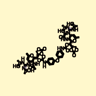 CB(O)/N=C(/NB(C)O)N[C@H]1C=C(C)O[C@@H]([C@H](OC(=O)Nc2ccc(Oc3ccc(NC(=O)O[C@@H]([C@@H]4OC(C)=C[C@H](N/C(=N\B(C)O)NB(C)O)[C@H]4NC(C)=O)[C@H]4COC(=O)O4)cc3)cc2)[C@H]2COC(=O)O2)[C@@H]1NC(C)=O